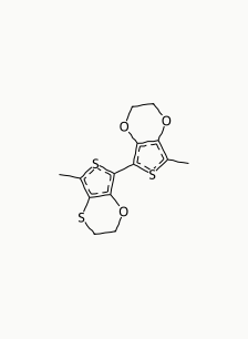 Cc1sc(-c2sc(C)c3c2OCCS3)c2c1OCCO2